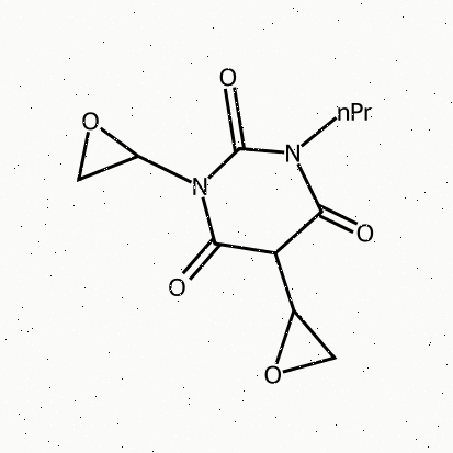 CCCN1C(=O)C(C2CO2)C(=O)N(C2CO2)C1=O